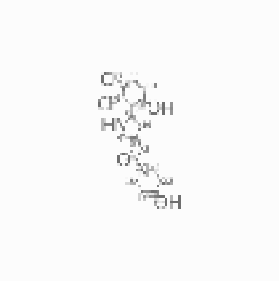 O=C(C[C@H]1CN[C@@H](c2c(O)ccc(Cl)c2Cl)C1)N1CCC(O)CC1